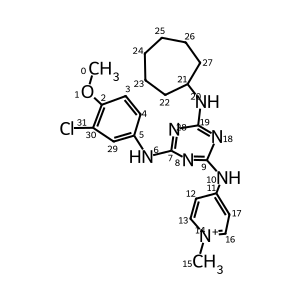 COc1ccc(Nc2nc(Nc3cc[n+](C)cc3)nc(NC3CCCCCC3)n2)cc1Cl